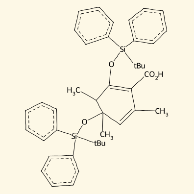 CC1=CC(C)(O[Si](c2ccccc2)(c2ccccc2)C(C)(C)C)C(C)C(O[Si](c2ccccc2)(c2ccccc2)C(C)(C)C)=C1C(=O)O